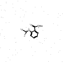 COC(=O)c1ccccc1OC(F)F